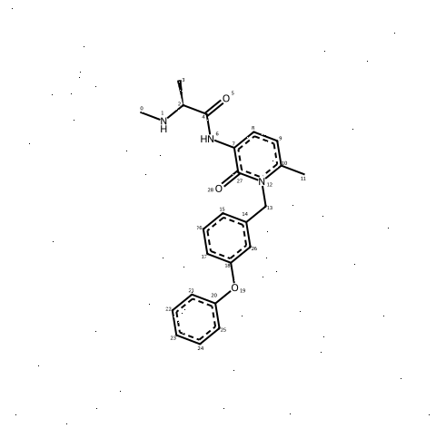 CN[C@@H](C)C(=O)Nc1ccc(C)n(Cc2cccc(Oc3ccccc3)c2)c1=O